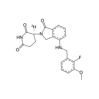 [2H][C@]1(N2Cc3c(NCc4cccc(OC)c4F)cccc3C2=O)CCC(=O)NC1=O